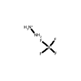 F[B-](F)(F)F.N[NH3+]